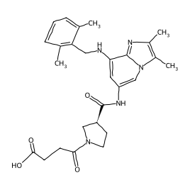 Cc1cccc(C)c1CNc1cc(NC(=O)[C@H]2CCN(C(=O)CCC(=O)O)C2)cn2c(C)c(C)nc12